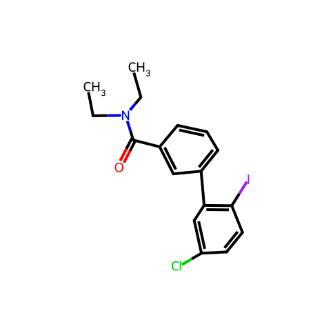 CCN(CC)C(=O)c1cccc(-c2cc(Cl)ccc2I)c1